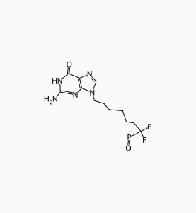 Nc1nc2c(ncn2CCCCCCC(F)(F)P=O)c(=O)[nH]1